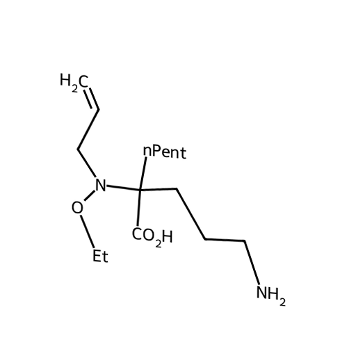 C=CCN(OCC)C(CCCN)(CCCCC)C(=O)O